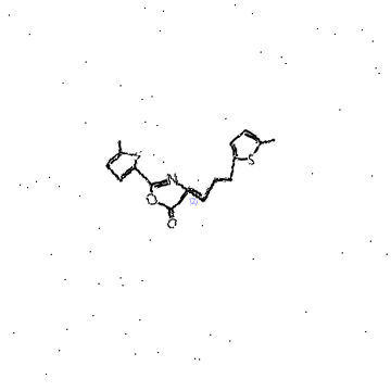 Cc1ccc(CC/C=C2\N=C(c3ccc(C)s3)OC2=O)s1